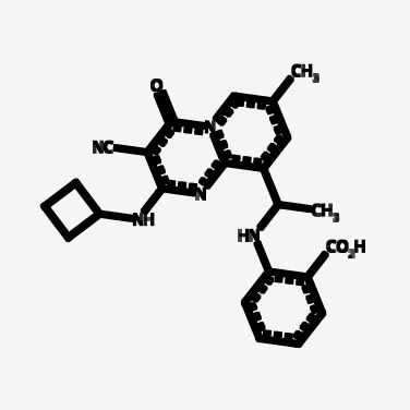 Cc1cc(C(C)Nc2ccccc2C(=O)O)c2nc(NC3CCC3)c(C#N)c(=O)n2c1